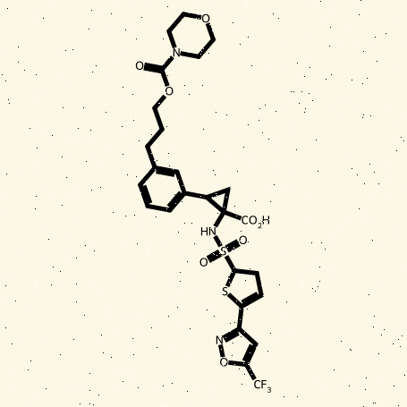 O=C(OCCCc1cccc(C2CC2(NS(=O)(=O)C2CC=C(c3cc(C(F)(F)F)on3)S2)C(=O)O)c1)N1CCOCC1